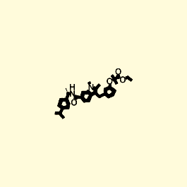 CCOC(=O)C(C)(C)Oc1cccc(Cc2c(C)n(C)c3cc(C(=O)N[C@@H](C)c4ccc(C(C)C)cc4)ccc23)c1